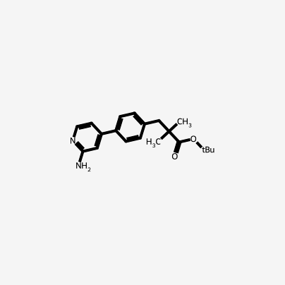 CC(C)(C)OC(=O)C(C)(C)Cc1ccc(-c2ccnc(N)c2)cc1